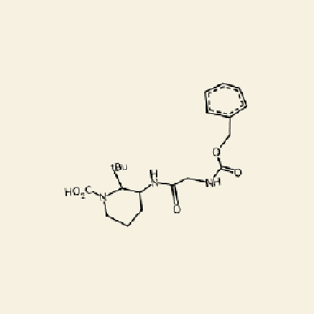 CC(C)(C)C1C(NC(=O)CNC(=O)OCc2ccccc2)CCCN1C(=O)O